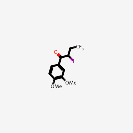 COc1ccc(C(=O)C(I)CC(F)(F)F)cc1OC